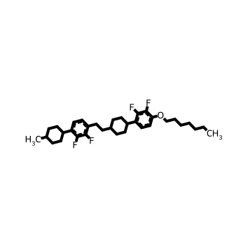 CCCCCCCOc1ccc(C2CCC(CCc3ccc(C4CCC(C)CC4)c(F)c3F)CC2)c(F)c1F